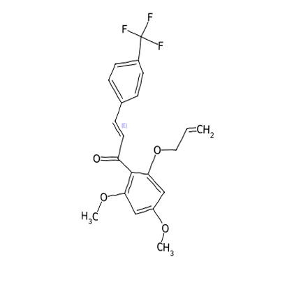 C=CCOc1cc(OC)cc(OC)c1C(=O)/C=C/c1ccc(C(F)(F)F)cc1